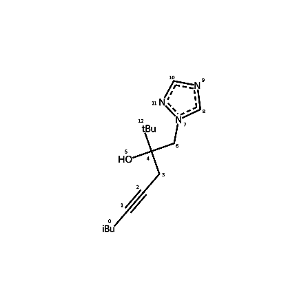 CCC(C)C#CCC(O)(Cn1cncn1)C(C)(C)C